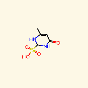 CC1=CC(=O)NC(S(=O)(=O)O)N1